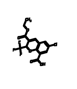 CCOC(=O)C1=Cc2cc(Cl)cc(C(=O)O)c2OC1C(F)(F)F